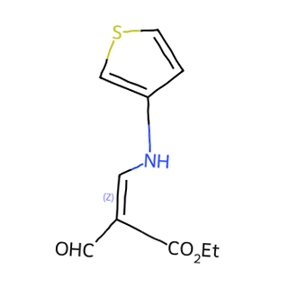 CCOC(=O)/C(C=O)=C\Nc1ccsc1